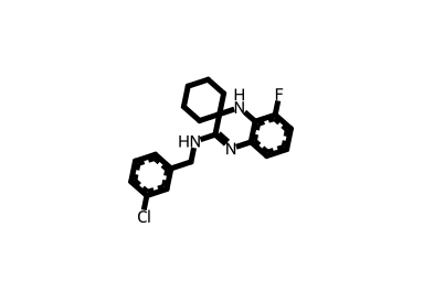 Fc1cccc2c1NC1(CCCCC1)C(NCc1cccc(Cl)c1)=N2